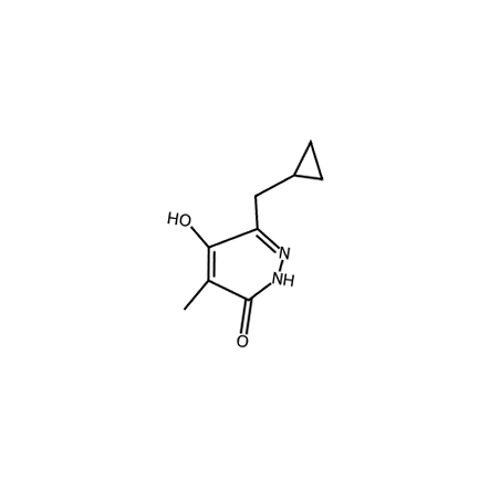 Cc1c(O)c(CC2CC2)n[nH]c1=O